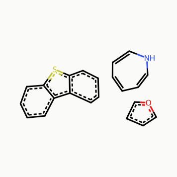 C1=CC=CNC=C1.c1ccc2c(c1)sc1ccccc12.c1ccoc1